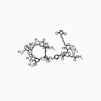 COc1cc2cc(c1Cl)N(C)C(=O)CC(OC(=O)C(C)C)C(C)[C@@H](O)C(C)C1CC(O)(NC(=O)O1)C(OC)/C=C/C1N(C(=O)OCc3ccc(NC(=O)[C@H](CCCNC(N)=O)NC(=O)[C@@H](NC(=O)CCCCCN4C(=O)C=CC4=O)C(C)C)cc3)C1(C)C2